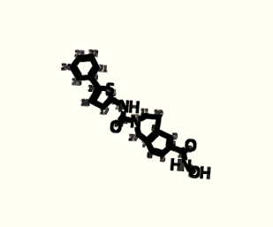 O=C(NO)c1ccc2c(c1)CCN(C(=O)NC1CC=C(c3ccccc3)S1)C2